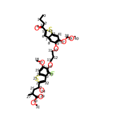 CCCC(=O)c1cc2cc(OCCCOc3c(OC)cc4sc(C(=O)CC(C)C(=O)OC)cc4c3F)c(OCOC)cc2s1